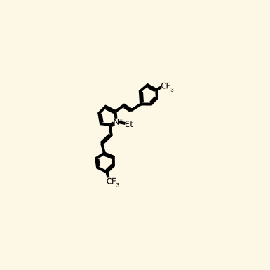 CC[n+]1c(/C=C/c2ccc(C(F)(F)F)cc2)cccc1/C=C/c1ccc(C(F)(F)F)cc1